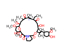 CCC1/C=C(\C)C(=O)C(C)CC(OC)C2OC(O)(C(=O)C(=O)N3CCCCC3C(=O)OC(C(C)=CC3CCC(O)C(OC)C3)C(C)C(O)CC1=O)C(C)CC2OC